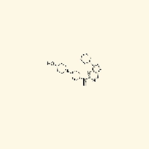 OC1CCN(c2ccc(Nc3ncc4cnn(C5CCCCC5)c4n3)cc2)CC1